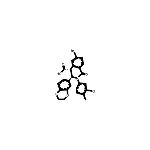 Cc1ccc(N2C(=O)c3ccc(Br)cc3[C@@H](C(=O)O)[C@@H]2c2ccc3c(c2)OCCO3)cc1Cl